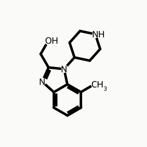 Cc1cccc2nc(CO)n(C3CCNCC3)c12